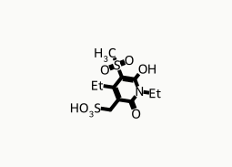 CCc1c(S(C)(=O)=O)c(O)n(CC)c(=O)c1CS(=O)(=O)O